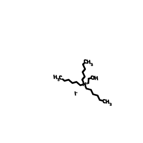 CCCCCC[N+](CCO)(CCCCCC)CCCCCC.[I-]